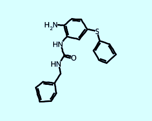 Nc1ccc(Sc2ccccc2)cc1NC(=O)NCc1ccccc1